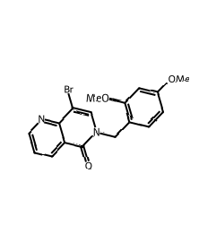 COc1ccc(Cn2cc(Br)c3ncccc3c2=O)c(OC)c1